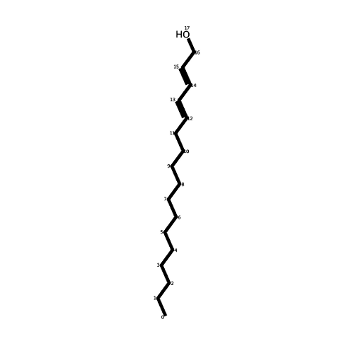 CCCCCCCCCCCCC=CC=CCO